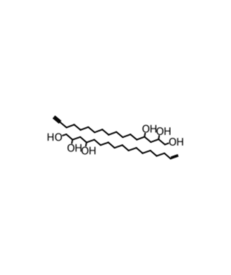 C#CCCCCCCCCCCCC(O)CC(O)CO.C=CCCCCCCCCCCCC(O)CC(O)CO